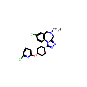 O=C(O)N1Cc2cc(Cl)ccc2-n2c(nnc2[C@H]2CC[C@H](Oc3cccc(Cl)n3)CC2)C1